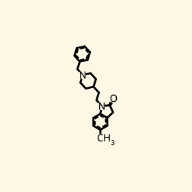 Cc1ccc2c(c1)CC(=O)N2CCC1CCN(Cc2ccccc2)CC1